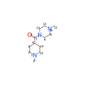 CN1CCC(C(=O)N2CCN(C)CC2)CC1